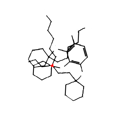 CCCCCCC1(Oc2ccc(O)c(OC3(CCCCCC)CCCCC3)c2OC2(CCCCCC)CCCCC2)CCCCC1